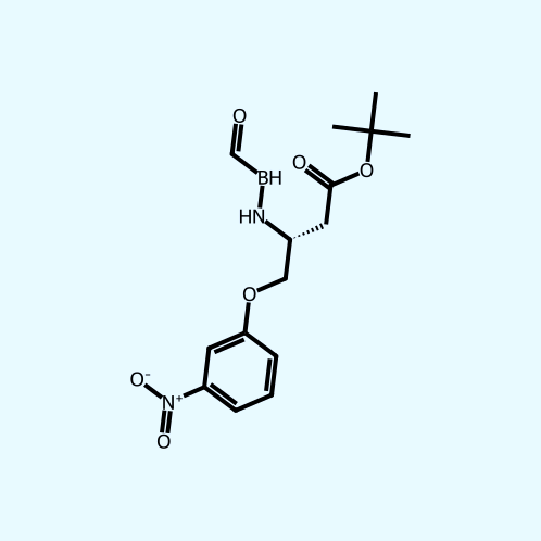 CC(C)(C)OC(=O)C[C@H](COc1cccc([N+](=O)[O-])c1)NBC=O